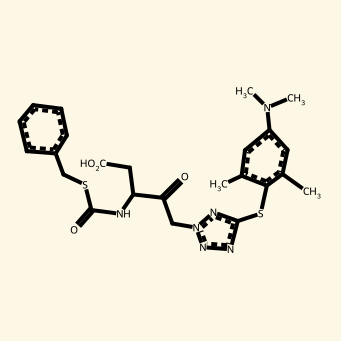 Cc1cc(N(C)C)cc(C)c1Sc1nnn(CC(=O)C(CC(=O)O)NC(=O)SCc2ccccc2)n1